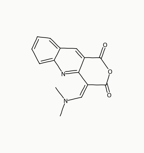 CN(C)/C=C1/C(=O)OC(=O)c2cc3ccccc3nc21